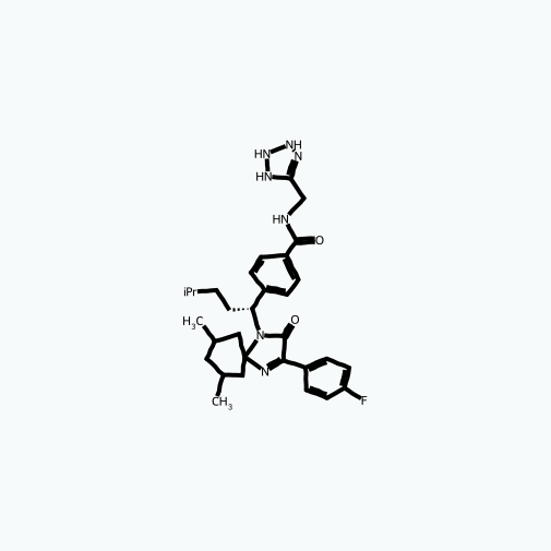 CC(C)CC[C@H](c1ccc(C(=O)NCC2=NNNN2)cc1)N1C(=O)C(c2ccc(F)cc2)=NC12CC(C)CC(C)C2